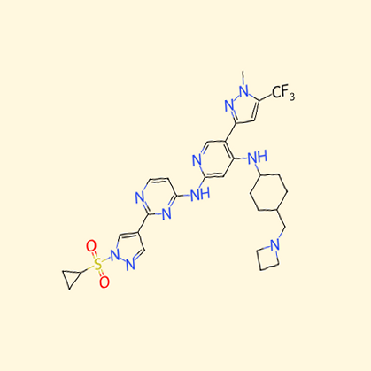 Cn1nc(-c2cnc(Nc3ccnc(-c4cnn(S(=O)(=O)C5CC5)c4)n3)cc2NC2CCC(CN3CCC3)CC2)cc1C(F)(F)F